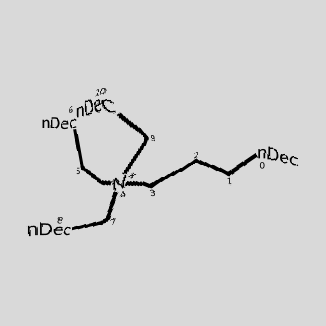 CCCCCCCCCCCCC[N+](CCCCCCCCCCC)(CCCCCCCCCCC)CCCCCCCCCCC